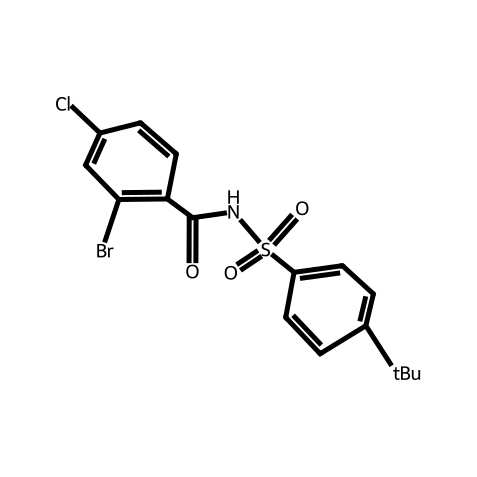 CC(C)(C)c1ccc(S(=O)(=O)NC(=O)c2ccc(Cl)cc2Br)cc1